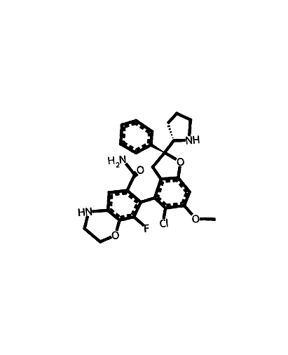 COc1cc2c(c(-c3c(C(N)=O)cc4c(c3F)OCCN4)c1Cl)C[C@](c1ccccc1)([C@@H]1CCCN1)O2